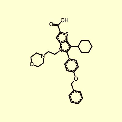 O=C(O)c1cc2c(s1)c(C1CCCCC1)c(-c1ccc(OCc3ccccc3)cc1)n2CCN1CCOCC1